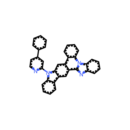 c1ccc(-c2ccnc(-n3c4ccccc4c4cc5c(cc43)c3ccccc3n3c4ccccc4nc53)c2)cc1